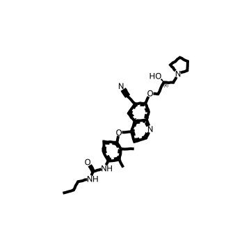 CCCNC(=O)Nc1ccc(Oc2ccnc3cc(OC[C@H](O)CN4CCCC4)c(C#N)cc23)c(C)c1C